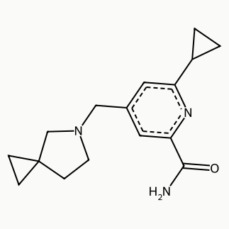 NC(=O)c1cc(CN2CCC3(CC3)C2)cc(C2CC2)n1